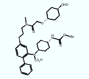 CN(CCCc1ccc(-c2ccccc2)c(N(C(=O)O)[C@H]2CC[C@H](NC(=O)OC(C)(C)C)CC2)c1)C(=O)CO[C@H]1CC[C@H](C=O)CC1